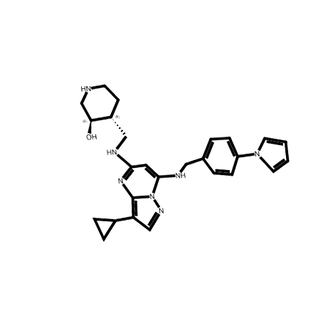 O[C@H]1CNCC[C@@H]1CNc1cc(NCc2ccc(-n3cccc3)cc2)n2ncc(C3CC3)c2n1